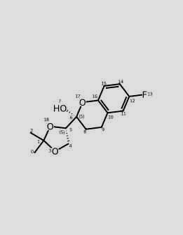 CC1(C)OC[C@@H]([C@]2(O)CCc3cc(F)ccc3O2)O1